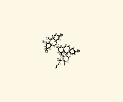 CCOC(=O)C1CN(C2c3ncc(Br)cc3CCc3cc(Cl)cc(Br)c32)CCN1.Clc1cc(Br)c2c(c1)CCc1cc(Br)cnc1C2Cl